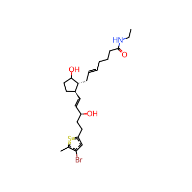 CCNC(=O)CCCC=CC[C@H]1C(O)CC[C@@H]1C=C[C@@H](O)CCc1cc(Br)c(C)s1